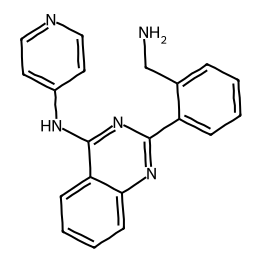 NCc1ccccc1-c1nc(Nc2ccncc2)c2ccccc2n1